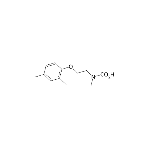 Cc1ccc(OCCN(C)C(=O)O)c(C)c1